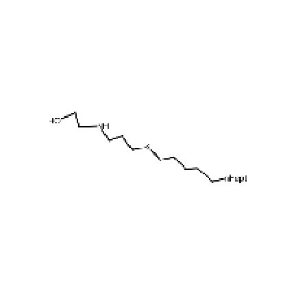 CCCCCCCCCCCCSCCCNCCO